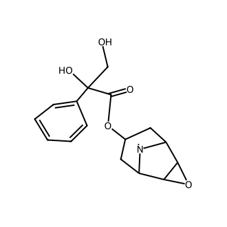 CN1C2CC(OC(=O)C(O)(CO)c3ccccc3)CC1C1OC12